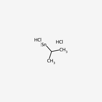 C[CH](C)[Sn].Cl.Cl